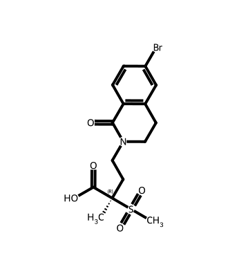 C[C@@](CCN1CCc2cc(Br)ccc2C1=O)(C(=O)O)S(C)(=O)=O